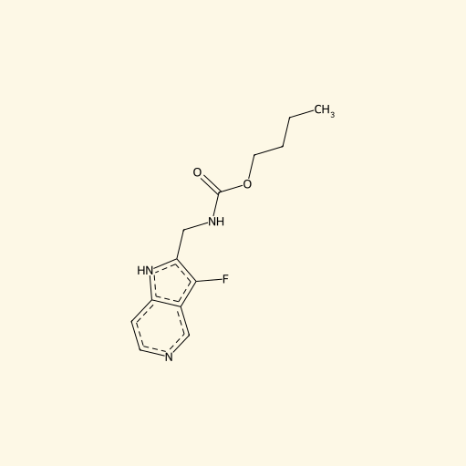 CCCCOC(=O)NCc1[nH]c2ccncc2c1F